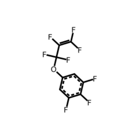 FC(F)=C(F)C(F)(F)Oc1cc(F)c(F)c(F)c1